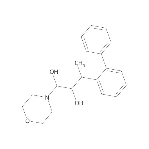 CC(c1ccccc1-c1ccccc1)C(O)C(O)N1CCOCC1